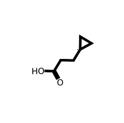 O=C(O)CC[C]1CC1